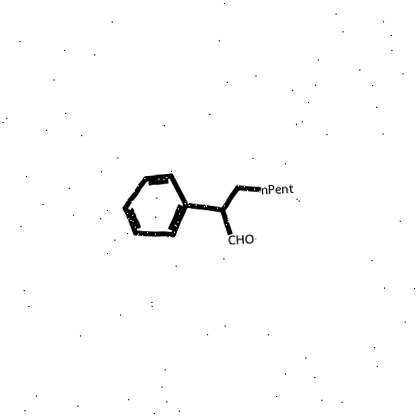 CCCCCCC([C]=O)c1ccccc1